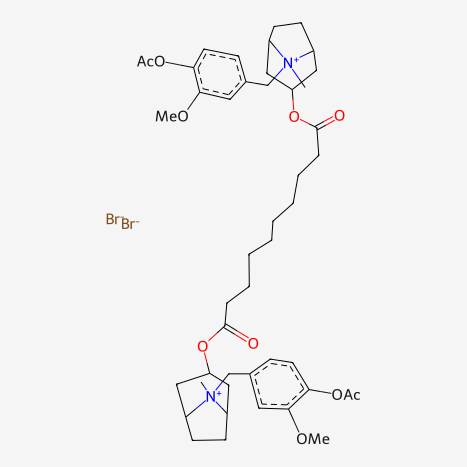 COc1cc(C[N+]2(C)C3CCC2CC(OC(=O)CCCCCCCCC(=O)OC2CC4CCC(C2)[N+]4(C)Cc2ccc(OC(C)=O)c(OC)c2)C3)ccc1OC(C)=O.[Br-].[Br-]